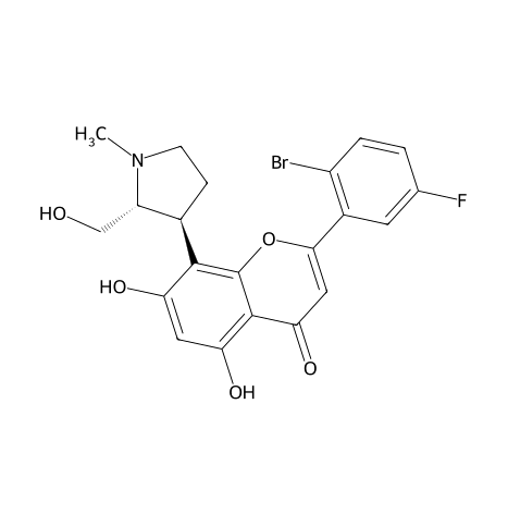 CN1CC[C@@H](c2c(O)cc(O)c3c(=O)cc(-c4cc(F)ccc4Br)oc23)[C@@H]1CO